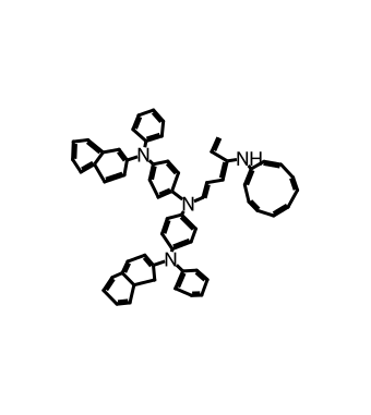 C=C/C(=C\C=C\N(c1ccc(N(C2=CC=C3C=CC=CC3C2)c2ccccc2)cc1)c1ccc(N(c2ccccc2)c2ccc3ccccc3c2)cc1)Nc1ccccccccc1